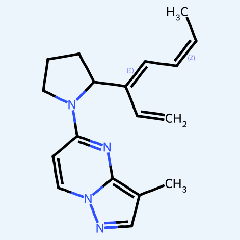 C=C/C(=C\C=C/C)C1CCCN1c1ccn2ncc(C)c2n1